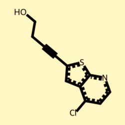 OCCC#Cc1cc2c(Cl)ccnc2s1